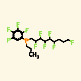 CCCP(CC(F)C(F)C(F)C(F)C(F)CCCF)c1cc(F)c(F)c(F)c1F